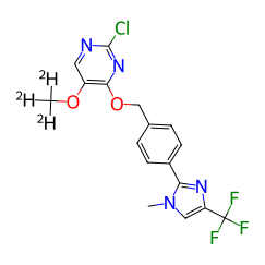 [2H]C([2H])([2H])Oc1cnc(Cl)nc1OCc1ccc(-c2nc(C(F)(F)F)cn2C)cc1